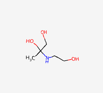 CC(O)(CO)NCCO